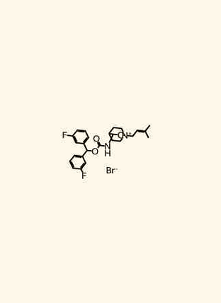 CC(C)=CC[N+]12CCC(CC1)C(NC(=O)OC(c1cccc(F)c1)c1cccc(F)c1)C2.[Br-]